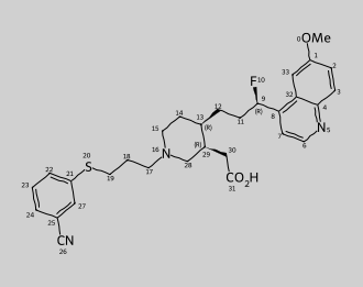 COc1ccc2nccc([C@H](F)CC[C@@H]3CCN(CCCSc4cccc(C#N)c4)C[C@@H]3CC(=O)O)c2c1